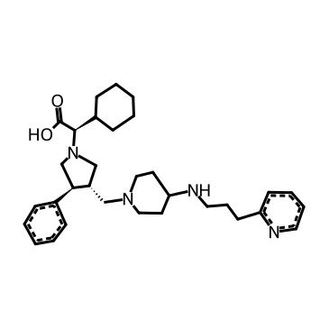 O=C(O)[C@@H](C1CCCCC1)N1C[C@H](CN2CCC(NCCCc3ccccn3)CC2)[C@@H](c2ccccc2)C1